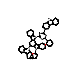 c1ccc(-c2nc(-c3ccc4oc5ccccc5c4c3)nc(-n3c4ccccc4c4cc(-n5c6ccccc6c6ccccc65)c5c(c6ccccc6n5-c5ccccc5)c43)n2)cc1